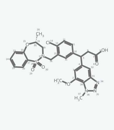 COc1cc(C(CC(=O)O)c2ccc(Cl)c(CN3C[C@@H](C)Oc4ccccc4S3(=O)=O)c2)cc2nnn(C)c12